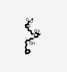 COC(=O)c1ccc(CCCN2C(=O)C(F)(F)C[C@@H]2/C=C/[C@H](O)[C@@H](C)CCCc2ccccc2)s1